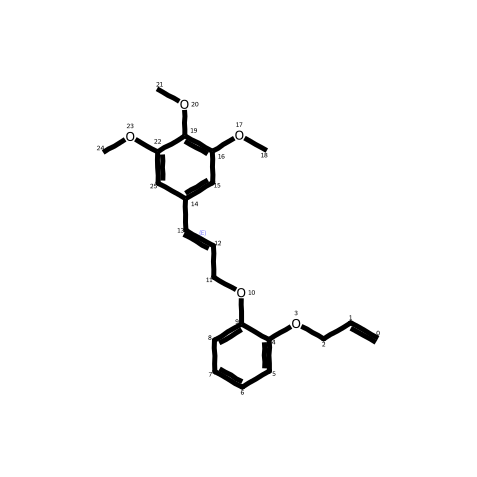 C=CCOc1ccccc1OC/C=C/c1cc(OC)c(OC)c(OC)c1